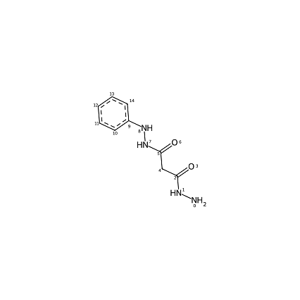 NNC(=O)CC(=O)NNc1ccccc1